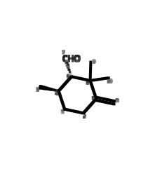 C=C1CC[C@@H](C)[C@H](C=O)C1(C)C